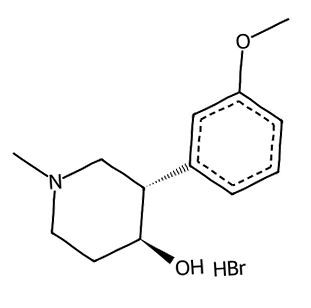 Br.COc1cccc([C@H]2CN(C)CC[C@@H]2O)c1